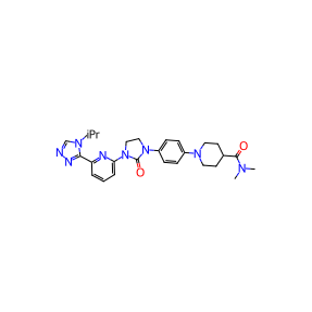 CC(C)n1cnnc1-c1cccc(N2CCN(c3ccc(N4CCC(C(=O)N(C)C)CC4)cc3)C2=O)n1